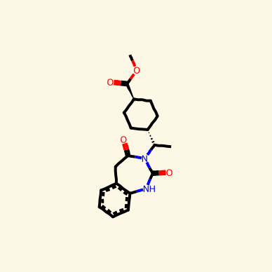 COC(=O)[C@H]1CC[C@H](C(C)N2C(=O)Cc3ccccc3NC2=O)CC1